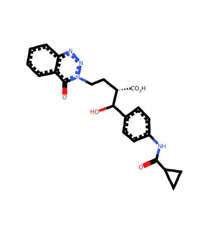 O=C(Nc1ccc(C(O)[C@H](CCn2nnc3ccccc3c2=O)C(=O)O)cc1)C1CC1